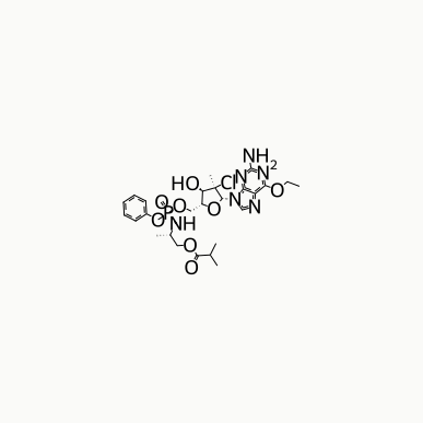 CCOc1nc(N)nc2c1ncn2[C@@H]1O[C@H](CO[P@](=O)(N[C@@H](C)COC(=O)C(C)C)Oc2ccccc2)[C@@H](O)[C@@]1(C)Cl